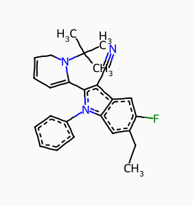 CCc1cc2c(cc1F)c(C#N)c(C1=CC=CCN1C(C)(C)C)n2-c1ccccc1